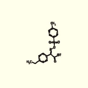 CCc1ccc(C(=NOS(=O)(=O)c2ccc(C)cc2)C(=O)O)cc1